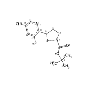 CC(C)(C)OC(=O)N1CCC(c2ncc(Cl)cc2F)C1